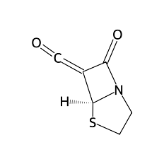 O=C=C1C(=O)N2CCS[C@@H]12